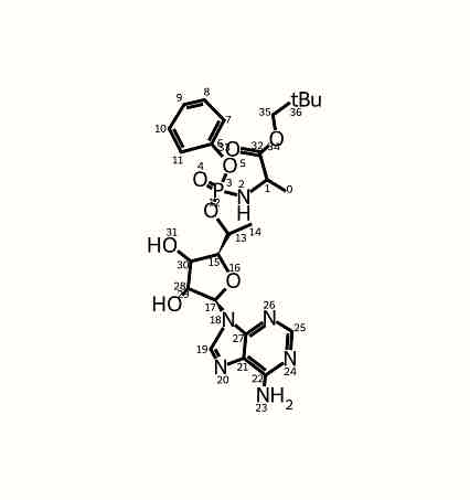 CC(NP(=O)(Oc1ccccc1)OC(C)[C@H]1O[C@@H](n2cnc3c(N)ncnc32)C(O)C1O)C(=O)OCC(C)(C)C